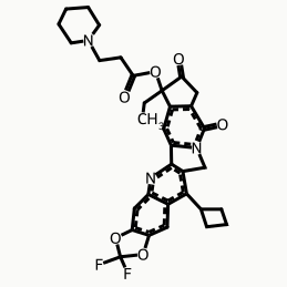 CCC1(OC(=O)CCN2CCCCC2)C(=O)Cc2c1cc1n(c2=O)Cc2c-1nc1cc3c(cc1c2C1CCC1)OC(F)(F)O3